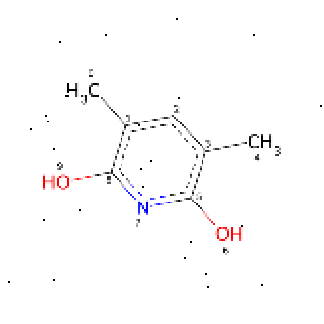 Cc1cc(C)c(O)nc1O